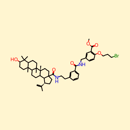 C=C(C)[C@@H]1CCC2(C(=O)NCCc3cccc(C(=O)NCc4ccc(OCCCBr)c(C(=O)OC)c4)c3)CC[C@]3(C)C(CCC4C5(C)CCC(O)C(C)(C)C5CCC43C)C12